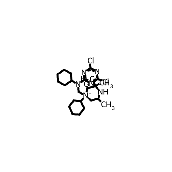 CC1C[N+](CN(c2nc(Cl)nc(Cl)n2)C2CCCCC2)(C2CCCCC2)C(=O)C(C)(C)N1